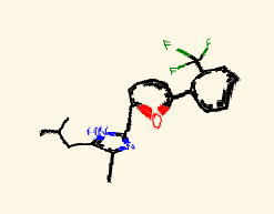 Cc1nc(-c2ccc(-c3ccccc3C(F)(F)F)o2)[nH]c1CC(C)C